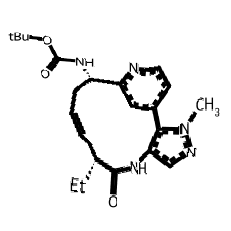 CC[C@@H]1C=CC[C@H](NC(=O)OC(C)(C)C)c2cc(ccn2)-c2c(cnn2C)NC1=O